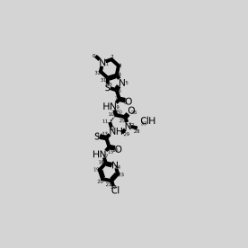 CN1CCc2nc(C(=O)N[C@@H](CNC(=S)C(=O)Nc3ccc(Cl)cn3)C(=O)N(C)C)sc2C1.Cl